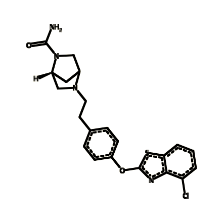 NC(=O)N1CC2C[C@@H]1CN2CCc1ccc(Oc2nc3c(Cl)cccc3s2)cc1